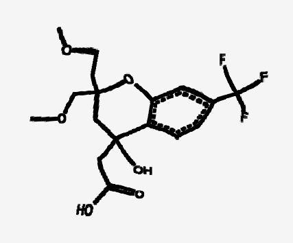 COCC1(COC)CC(O)(CC(=O)O)c2ccc(C(F)(F)F)cc2O1